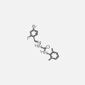 Cc1cccc(C)c1NC(=O)N/N=C/c1ccc(Br)cc1F